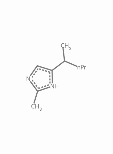 CCCC(C)c1cnc(C)[nH]1